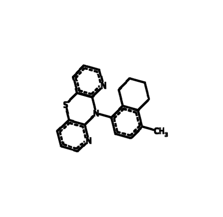 Cc1ccc(N2c3ncccc3Sc3cccnc32)c2c1CCCC2